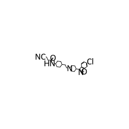 N#CCCC(=O)NC1CCC(CCN2CCC(c3noc4cc(Cl)ccc34)CC2)CC1